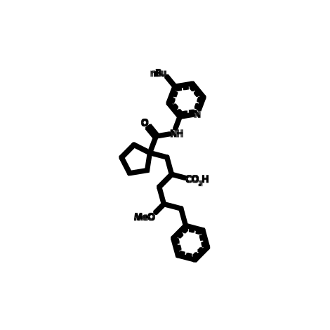 CCCCc1ccnc(NC(=O)C2(CC(CC(Cc3ccccc3)OC)C(=O)O)CCCC2)c1